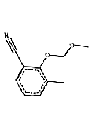 COCOc1c(C)cccc1C#N